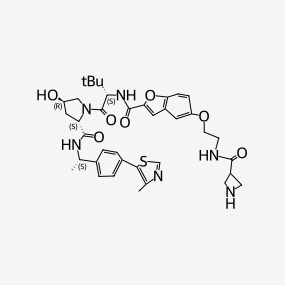 Cc1ncsc1-c1ccc([C@H](C)NC(=O)[C@@H]2C[C@@H](O)CN2C(=O)[C@@H](NC(=O)c2cc3cc(OCCNC(=O)C4CNC4)ccc3o2)C(C)(C)C)cc1